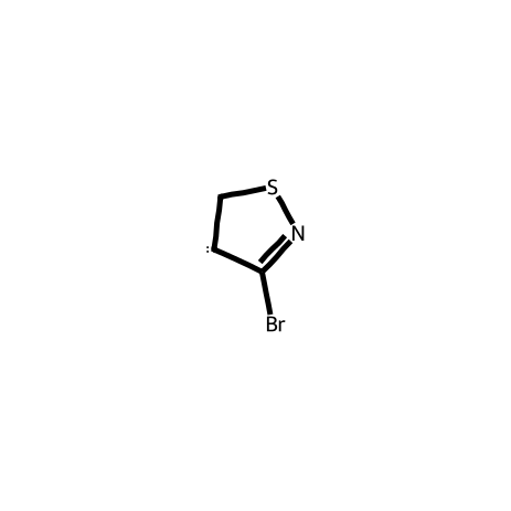 BrC1=NSC[C]1